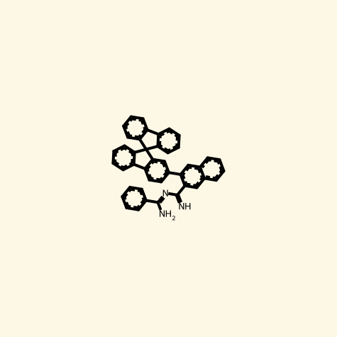 N=C(/N=C(\N)c1ccccc1)c1cc2ccccc2cc1-c1ccc2c(c1)C1(c3ccccc3-c3ccccc31)c1ccccc1-2